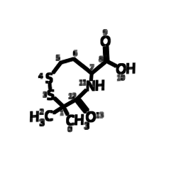 CC1(C)SSCCC(C(=O)O)NC1=O